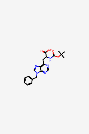 CC(C)(C)OC(=O)NC(Cc1ncnc2c1ncn2Cc1ccccc1)C(=O)O